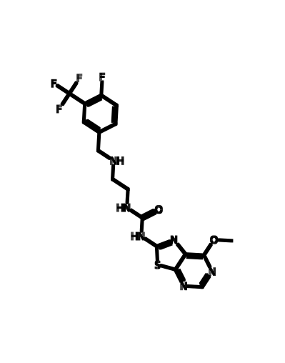 COc1ncnc2sc(NC(=O)NCCNCc3ccc(F)c(C(F)(F)F)c3)nc12